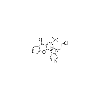 CC(C)(C)NC=C1C(=O)c2ccccc2OC1c1cn(CCCl)c2cnccc12